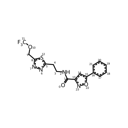 O=C(NCCc1nnc(COC(F)(F)F)s1)c1cc(-c2ccccc2)on1